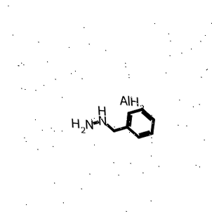 NNCc1ccccc1.[AlH3]